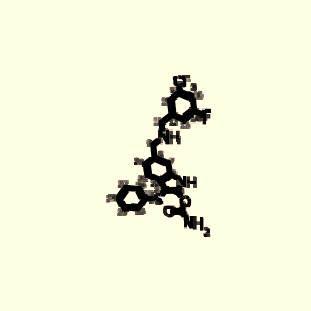 NC(=O)Oc1[nH]c2cc(CNCc3cc(F)cc(C(F)(F)F)c3)ccc2c1Sc1ccccc1